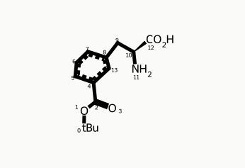 CC(C)(C)OC(=O)c1cccc(C[C@H](N)C(=O)O)c1